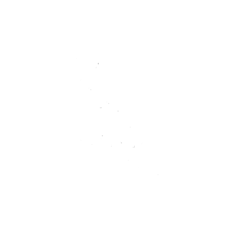 Cc1ccc(C(OCCN2CCN(CC(C)O)CC2)c2ccc(F)cc2)s1